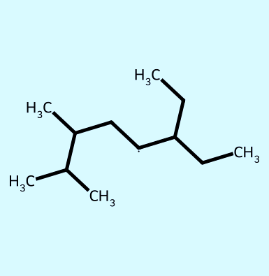 CCC([CH]CC(C)C(C)C)CC